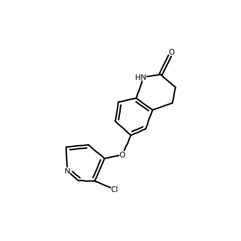 O=C1CCc2cc(Oc3ccncc3Cl)ccc2N1